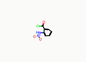 O=C(Cl)c1ccccc1N[N+](=O)[O-]